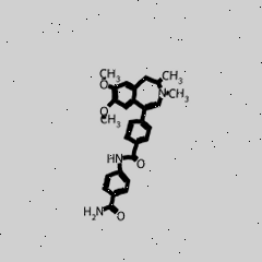 COc1cc2c(cc1OC)C(c1ccc(C(=O)Nc3ccc(C(N)=O)cc3)cc1)=CN(C)C(C)C2